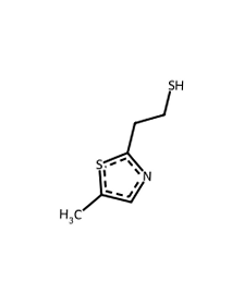 Cc1cnc(CCS)s1